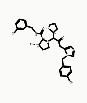 CC[C@H]1CCN(C(C(=O)Cc2cncn2Cc2ccc(C#N)cc2)[C@@H]2CCCN2)[C@@H]1C(=O)NCc1cccc(Cl)c1